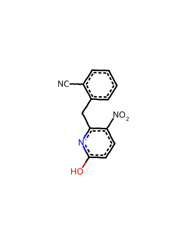 N#Cc1ccccc1Cc1nc(O)ccc1[N+](=O)[O-]